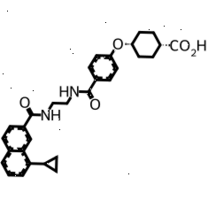 O=C(NCCNC(=O)c1ccc2cccc(C3CC3)c2c1)c1ccc(O[C@H]2CC[C@@H](C(=O)O)CC2)cc1